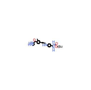 Cc1cc(C#CCNc2ccc(C(=N)NC(=O)OC(C)(C)C)cc2)ccc1C(=O)C1CCNN1